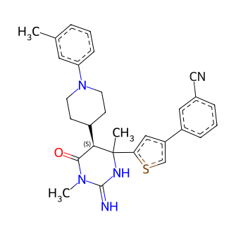 Cc1cccc(N2CCC([C@@H]3C(=O)N(C)C(=N)NC3(C)c3cc(-c4cccc(C#N)c4)cs3)CC2)c1